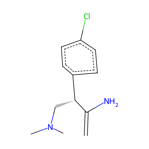 C=C(N)[C@H](CN(C)C)c1ccc(Cl)cc1